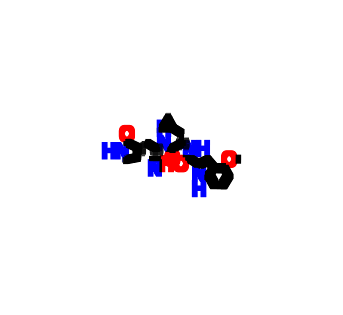 COc1cccc2[nH]c(C(O)N[C@@H](CC3CC3)C(=O)N[C@H](C#N)C[C@@H]3CCNC3=O)cc12